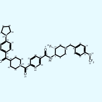 O=C(N[C@@H]1CCN(Cc2ccc(OC(F)(F)F)cc2)C[C@H]1F)c1ccc(C(=O)N2CCC(C(=O)c3ccc(N4CCCC4)cc3)CC2)nc1